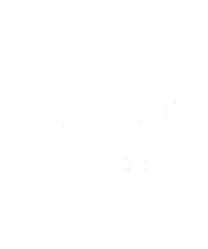 O=C(O)CC(CCCc1ccc(-c2ccccc2)cc1)C(=O)N(CO)CCc1cccnc1